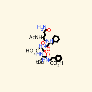 CC(=O)N[C@@H](CCC(N)=O)C(=O)N[C@@H](CC1CCCCC1)C(=O)N[C@@H](CC(=O)O)C(=O)N[C@@H](CC(C)(C)C)C(=O)NC(Cc1ccccc1)C(=O)O